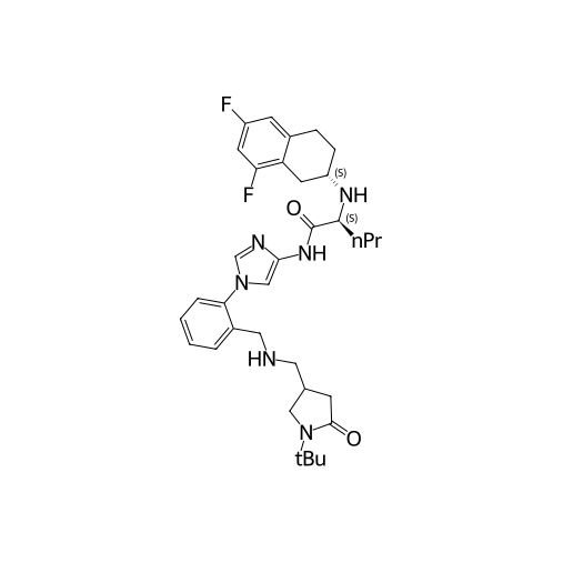 CCC[C@H](N[C@H]1CCc2cc(F)cc(F)c2C1)C(=O)Nc1cn(-c2ccccc2CNCC2CC(=O)N(C(C)(C)C)C2)cn1